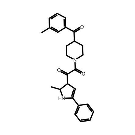 Cc1cccc(C(=O)C2CCN(C(=O)C(=O)C3C=C(c4ccccc4)NC3C)CC2)c1